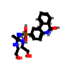 CC(NCCO)(NCCO)NS(=O)(=O)c1ccc2[nH]c(=O)c3ccccc3c2c1